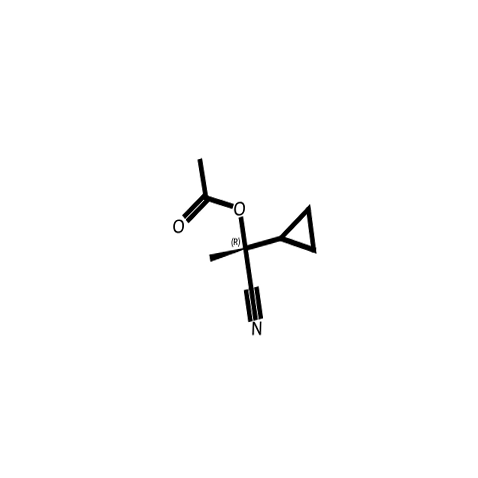 CC(=O)O[C@@](C)(C#N)C1CC1